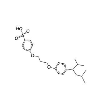 CC(C)CC(c1ccc(OCCCOc2ccc(S(=O)(=O)O)cc2)cc1)C(C)C